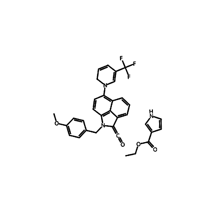 CCOC(=O)c1cc[nH]c1.COc1ccc(Cn2c(=C=O)c3cccc4c(N5C=C(C(F)(F)F)C=CC5)ccc2c43)cc1